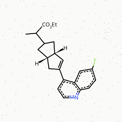 CCOC(=O)C(C)C1C[C@H]2CC(c3ccnc4ccc(F)cc34)=C[C@H]2C1